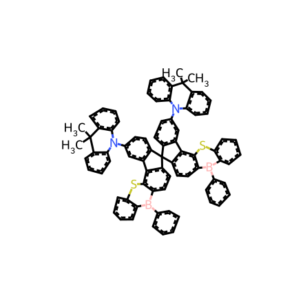 CC1(C)c2ccccc2N(c2ccc3c(c2)-c2c(ccc4c2Sc2ccccc2B4c2ccccc2)C32c3ccc(N4c5ccccc5C(C)(C)c5ccccc54)cc3-c3c2ccc2c3Sc3ccccc3B2c2ccccc2)c2ccccc21